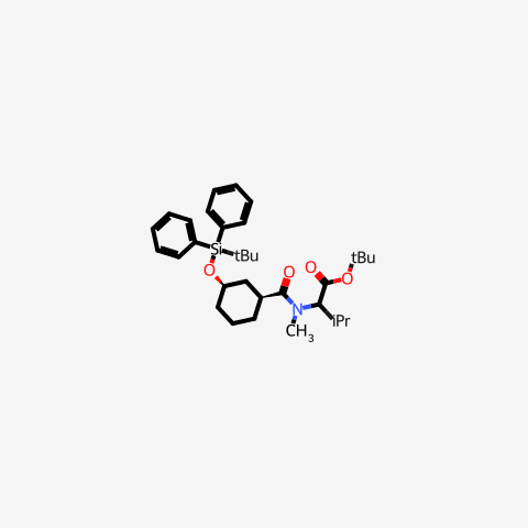 CC(C)C(C(=O)OC(C)(C)C)N(C)C(=O)[C@H]1CCC[C@@H](O[Si](c2ccccc2)(c2ccccc2)C(C)(C)C)C1